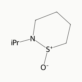 CC(C)N1CCCC[S+]1[O-]